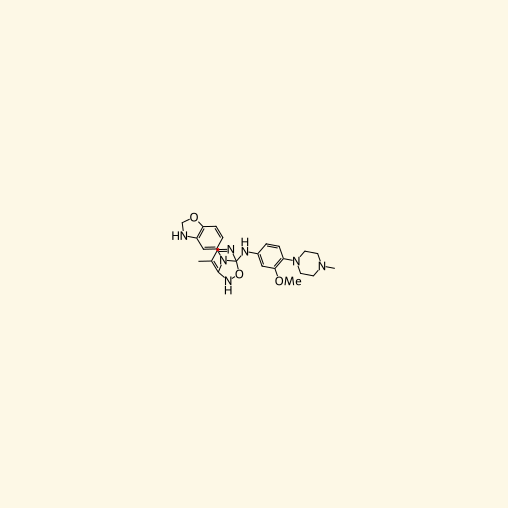 COc1cc(NC23N=CC(C)=C(NO2)N3c2ccc3c(c2)NCO3)ccc1N1CCN(C)CC1